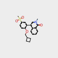 Cn1cc(-c2cc(S(C)(=O)=O)ccc2OCC2CCC2)c2ccccc2c1=O